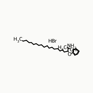 Br.CCCCCCCCCCCCCCCCCCC(Oc1ccccc1)C(C)(C)N